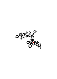 CN(C)/C=N\c1ncnc2c1ncn2[C@H]1C[C@@H](NC(c2ccccc2)(c2ccccc2)c2ccccc2)C(COP(=S)(N[C@@H]2C[C@H](n3cnc4c(NC(=O)c5ccccc5)ncnc43)OC2CO)OCCC#N)O1